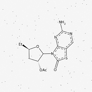 CC[C@@H]1C[C@@H](OC(C)=O)C(n2c(=O)sc3cnc(N)nc32)O1